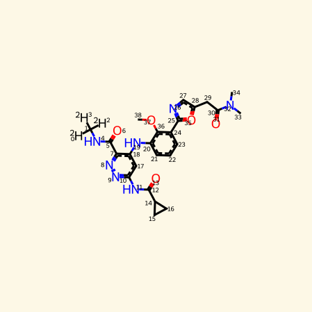 [2H]C([2H])([2H])NC(=O)c1nnc(NC(=O)C2CC2)cc1Nc1cccc(-c2ncc(CC(=O)N(C)C)o2)c1OC